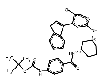 CC(C)(C)OC(=O)Nc1ccc(C(=O)N[C@H]2CCC[C@@H](Nc3ncc(Cl)c(C4=CCc5ccccc54)n3)C2)cc1